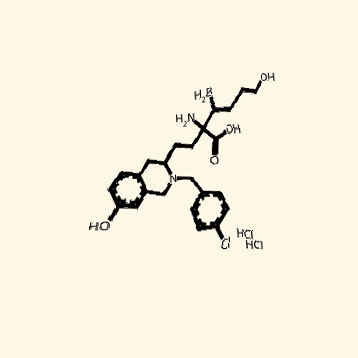 BC(CCCO)C(N)(CCC1Cc2ccc(O)cc2CN1Cc1ccc(Cl)cc1)C(=O)O.Cl.Cl